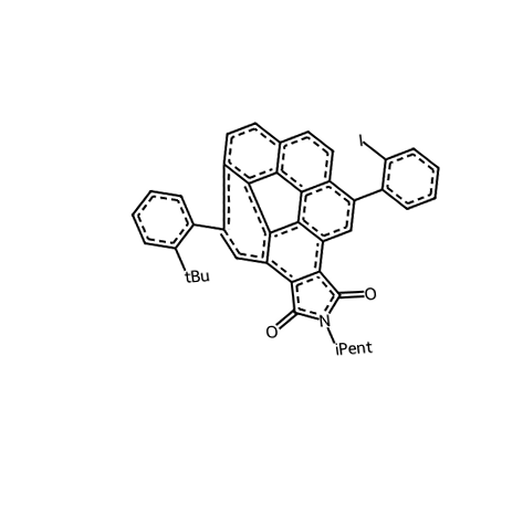 CCCC(C)n1c(=O)c2c3cc(-c4ccccc4I)c4ccc5ccc6c(-c7ccccc7C(C)(C)C)cc(c2c1=O)c1c6c5c4c31